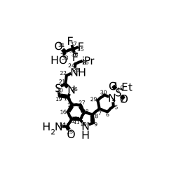 CCS(=O)(=O)N1CCC(c2c[nH]c3c(C(N)=O)cc(-c4csc(CNCC(C)C)n4)cc23)CC1.O=C(O)C(F)(F)F